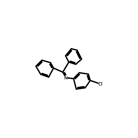 Clc1ccc(N=C(c2ccccc2)c2ccccc2)cc1